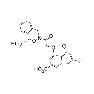 O=C(O)CON(Cc1ccccc1)C(=O)COc1cc(C(=O)O)cc2cc(Cl)cc(Cl)c12